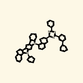 c1ccc(-c2cccc(-c3nc(-c4ccccc4)nc(-c4ccc5c(-n6c7ccccc7c7cc8c9ccc%10ccccc%10c9n(-c9ccccc9)c8cc76)cccc5c4)n3)c2)cc1